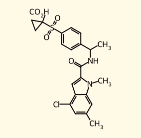 Cc1cc(Cl)c2cc(C(=O)NC(C)c3ccc(S(=O)(=O)C4(C(=O)O)CC4)cc3)n(C)c2c1